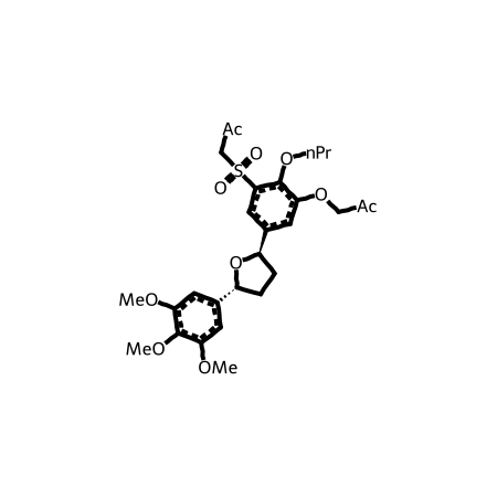 CCCOc1c(OCC(C)=O)cc([C@H]2CC[C@H](c3cc(OC)c(OC)c(OC)c3)O2)cc1S(=O)(=O)CC(C)=O